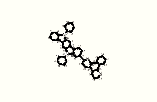 c1ccc(-n2c3ccccc3c3cc4c(cc32)c2ccc(-c3ccc5c6cccnc6c6ccccc6c5n3)cc2n4-c2ccccc2)cc1